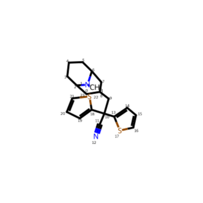 CN1C2CCCC1CC(CC(C#N)(c1cccs1)c1cccs1)C2